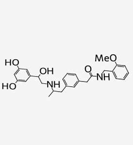 COc1ccccc1CNC(=O)Cc1cccc(CC(C)NCC(O)c2cc(O)cc(O)c2)c1